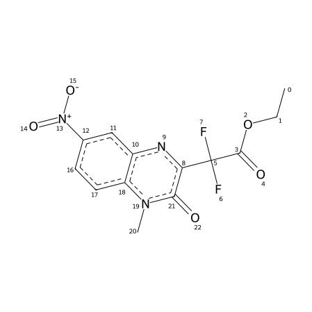 CCOC(=O)C(F)(F)c1nc2cc([N+](=O)[O-])ccc2n(C)c1=O